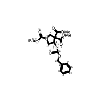 COC(=O)C1(C(=O)OC)CN(C(=O)OC(C)(C)C)CC1NC(=O)OCc1ccccc1